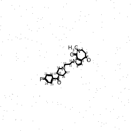 CN1CCC(=O)c2ccn(CCCN3CCC(C(=O)c4ccc(F)cc4)CC3)c2C1=O